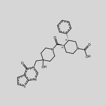 O=C(O)N1CC[C@@H](C(=O)N2CCC(O)(Cn3cnc4sccc4c3=O)CC2)[C@H](c2ccccc2)C1